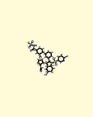 Cc1ccc(S(=O)(=O)n2c(-c3cccc(-c4ccc(C(=O)NS(C)(=O)=O)cc4Cl)c3)c(-c3ccsc3C#N)c3cc(F)ccc32)cc1